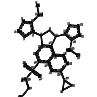 CCNc1nncn1C1CC(n2cnnc2NCC)c2c1cc(S(=O)(=O)NCC(C)C)c1cc(C3CC3)ncc21